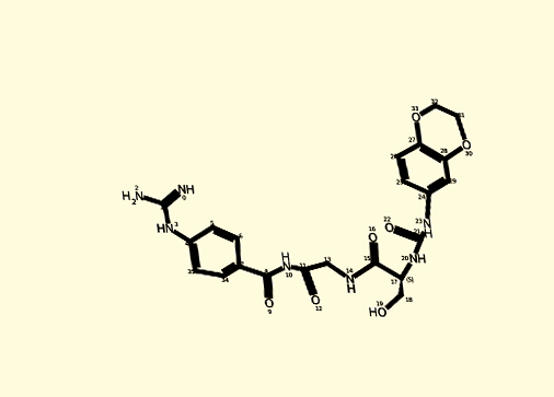 N=C(N)Nc1ccc(C(=O)NC(=O)CNC(=O)[C@H](CO)NC(=O)Nc2ccc3c(c2)OCCO3)cc1